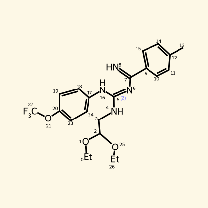 CCOC(CN/C(=N/C(=N)c1ccc(C)cc1)Nc1ccc(OC(F)(F)F)cc1)OCC